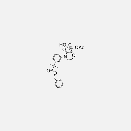 CC(=O)O[C@@H](C(=O)O)[C@H]1OCCN(c2cccc(C(C)(C)C(=O)OCc3ccccc3)c2)C1=O